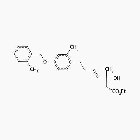 CCOC(=O)CC(C)(O)C=CCCc1ccc(OCc2ccccc2C)cc1C